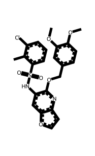 COc1ccc(COc2nc3ccoc3cc2NS(=O)(=O)c2cccc(Cl)c2C)cc1OC